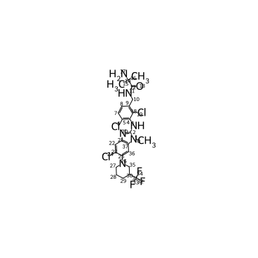 Cn1c(Nc2c(Cl)ccc(CNC(=O)C(C)(C)N)c2Cl)nc2cc(Cl)c(N3CCCC(C(F)(F)F)C3)cc21